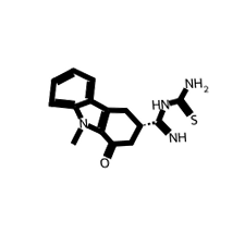 Cn1c2c(c3ccccc31)C[C@H](C(=N)NC(N)=S)CC2=O